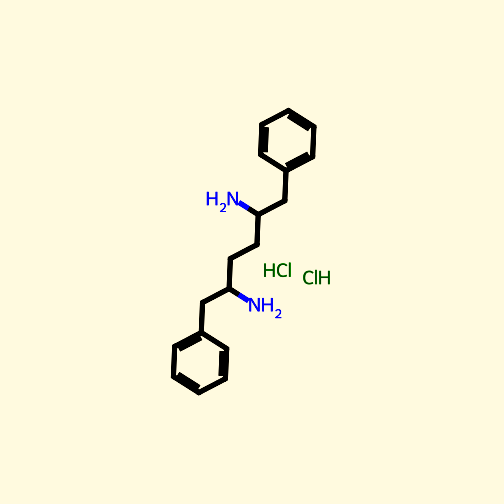 Cl.Cl.NC(CCC(N)Cc1ccccc1)Cc1ccccc1